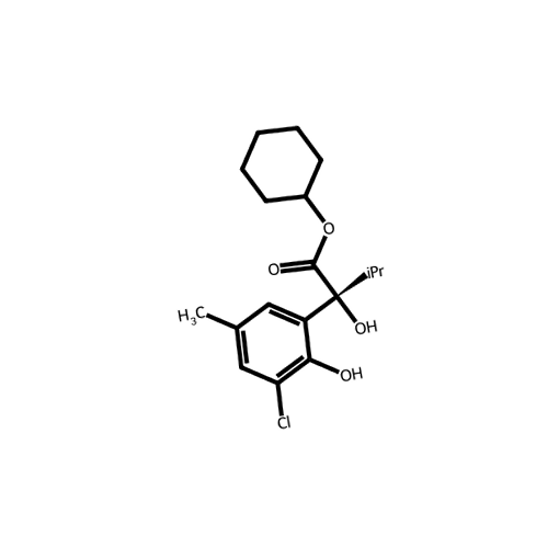 Cc1cc(Cl)c(O)c([C@@](O)(C(=O)OC2CCCCC2)C(C)C)c1